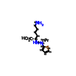 CCCN(N[C@@H](CCCCN)C(=O)O)c1cccs1